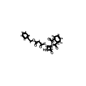 O=C(CC(=O)OCc1ccccc1)C[C@H]1NC(=O)[C@@H]1N1C(=O)c2ccccc2C1=O